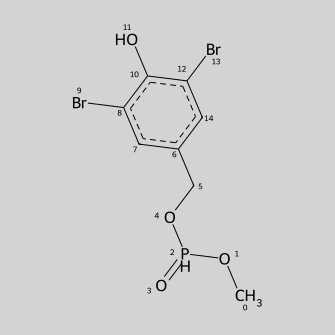 CO[PH](=O)OCc1cc(Br)c(O)c(Br)c1